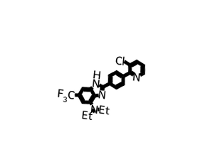 CCN(CC)c1cc(C(F)(F)F)cc2[nH]c(-c3ccc(-c4ncccc4Cl)cc3)nc12